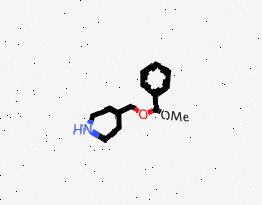 COC(OCC1CCNCC1)c1ccccc1